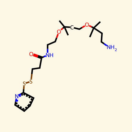 CC(C)(CCN)OCCC(C)(C)OCCNC(=O)CCSSc1ccccn1